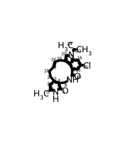 Cc1cc2c(c(=O)[nH]1)CNC(=O)c1cc(Cl)cc3c1c(cn3C(C)C)C/C=C/CC2